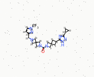 O=C(N1CC2(CC(c3nc(C4CC4)n[nH]3)C2)C1)N1CC2(CN(Cc3ccn(C(F)(F)F)n3)C2)C1